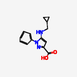 O=C(O)c1cc(NCC2CC2)n(-c2ccccc2)n1